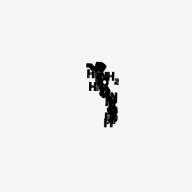 CCCc1ccccc1N/C(N)=N/C(=O)Nc1ccc(-c2ncn(-c3ccc(OC(F)(F)F)cc3)n2)cc1